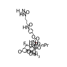 CCCC1O[C@@H]2CC3[C@@H]4C[C@H](F)C5=CC(=O)C=C[C@]5(C)C4[C@@H](O)C[C@]3(C)[C@]2(C(=O)CNC(=O)OCc2ccc(NC(=O)CCCCNC(N)=O)cc2)O1